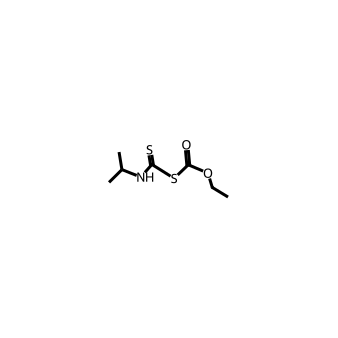 CCOC(=O)SC(=S)NC(C)C